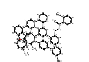 CC1=C(C)C(C)=C(c2ccc(-c3cc(C(C)(C)C)ccn3)cc2)C(c2cc(-c3ccccc3CCC(=O)c3ccccc3O)cc(-c3ccccc3-c3ccc(-c4cccc5c4oc4nc(C)ccc45)nc3)c2)C#C1